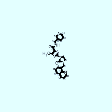 Cc1nc(N2CCN(Cc3cccc4cccnc34)C2=O)sc1C(=O)NCc1cccnc1